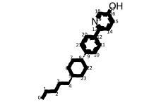 CCCCC[C@H]1CC[C@H](c2ccc(-c3ccc(O)cn3)cc2)CC1